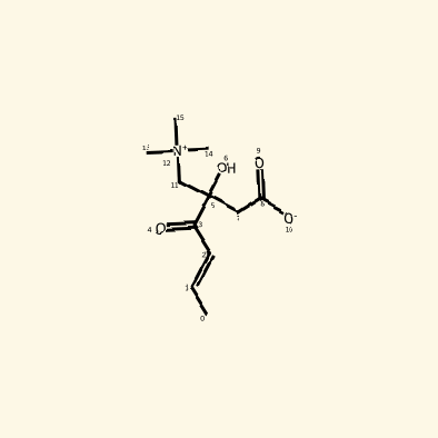 CC=CC(=O)C(O)(CC(=O)[O-])C[N+](C)(C)C